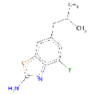 CC(C)Cc1cc(F)c2nc(N)sc2c1